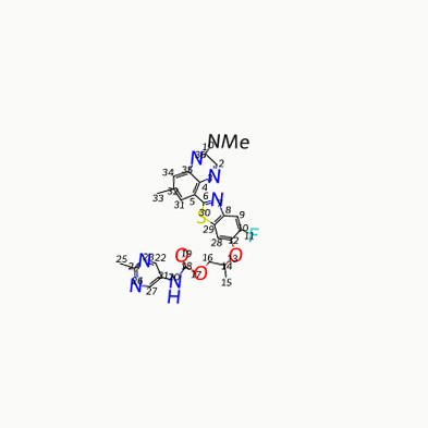 CNc1cnc2c(-c3nc4cc(F)c(OC(C)COC(=O)Nc5cnc(C)nc5)cc4s3)cc(C)cc2n1